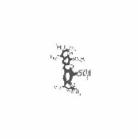 CC1CC(C)(C)Nc2c1cc1c(c2S(=O)(=O)O)Oc2c(S(=O)(=O)O)c3c(cc2=C1)C(C)CC(C)(C)N=3